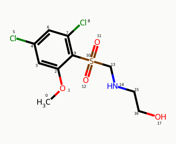 COc1cc(Cl)cc(Cl)c1S(=O)(=O)CNCCO